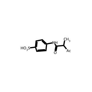 CC(=O)C(C)C(=O)Nc1ccc(S(=O)(=O)O)cc1